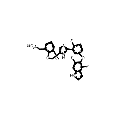 CCOC(=O)Cc1cccc2c1OC[C@@]2(C)c1cnc(-c2cc(Oc3c(F)cc4[nH]ccc4c3F)ccc2F)[nH]1